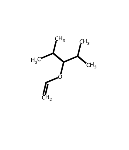 C=COC(C(C)C)C(C)C